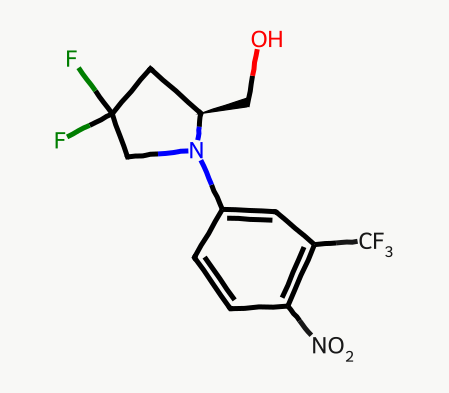 O=[N+]([O-])c1ccc(N2CC(F)(F)C[C@H]2CO)cc1C(F)(F)F